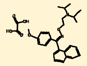 COc1ccc(C(=NOCCN(C(C)C)C(C)C)c2cccc3ccccc23)cc1.O=C(O)C(=O)O